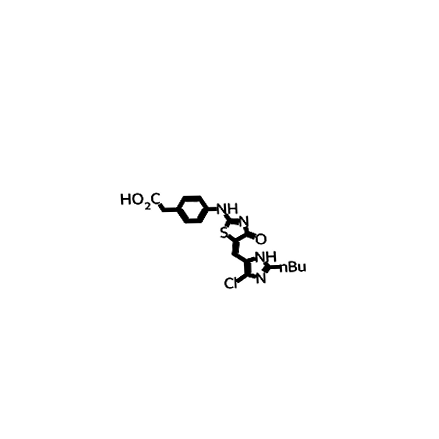 CCCCc1nc(Cl)c(/C=C2/SC(Nc3ccc(CC(=O)O)cc3)=NC2=O)[nH]1